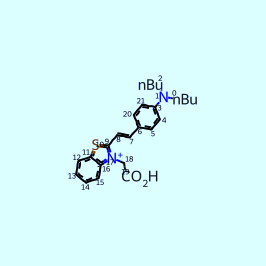 CCCCN(CCCC)c1ccc(C=Cc2sc3ccccc3[n+]2CC(=O)O)cc1